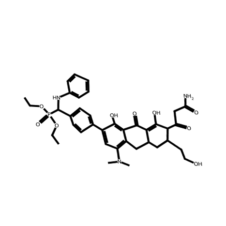 CCOP(=O)(OCC)C(Nc1ccccc1)c1ccc(-c2cc(N(C)C)c3c(c2O)C(=O)C2=C(O)C(C(=O)CC(N)=O)C(CCO)CC2C3)cc1